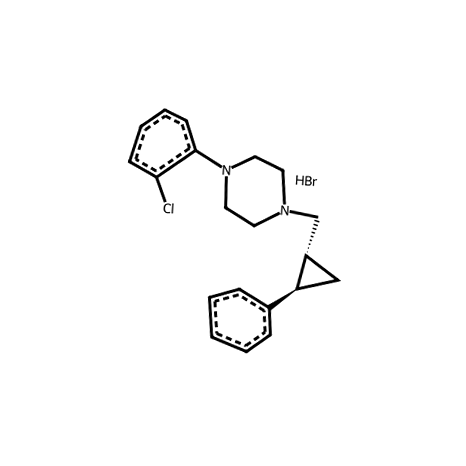 Br.Clc1ccccc1N1CCN(C[C@@H]2C[C@H]2c2ccccc2)CC1